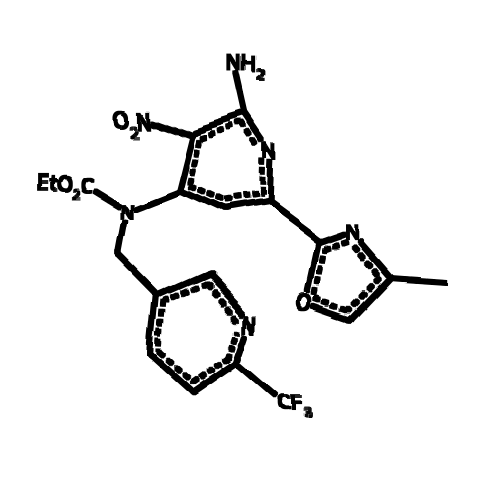 CCOC(=O)N(Cc1ccc(C(F)(F)F)nc1)c1cc(-c2nc(C)co2)nc(N)c1[N+](=O)[O-]